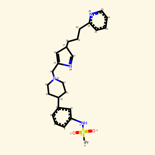 CC(C)S(=O)(=O)Nc1cccc(C2CCN(CC3=CC(CCCc4ccccn4)C=N3)CC2)c1